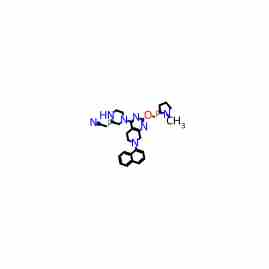 CN1CCC[C@H]1COc1nc2c(c(N3CCN[C@@H](CC#N)C3)n1)CCN(c1cccc3ccccc13)C2